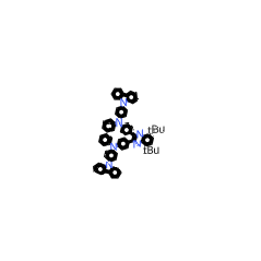 CC(C)(C)c1ccc(C(C)(C)C)c2nc(-c3ccc(N(c4ccccc4)c4ccc(-n5c6ccccc6c6ccccc65)cc4)cc3)c(-c3ccc(N(c4ccccc4)c4ccc(-n5c6ccccc6c6ccccc65)cc4)cc3)nc12